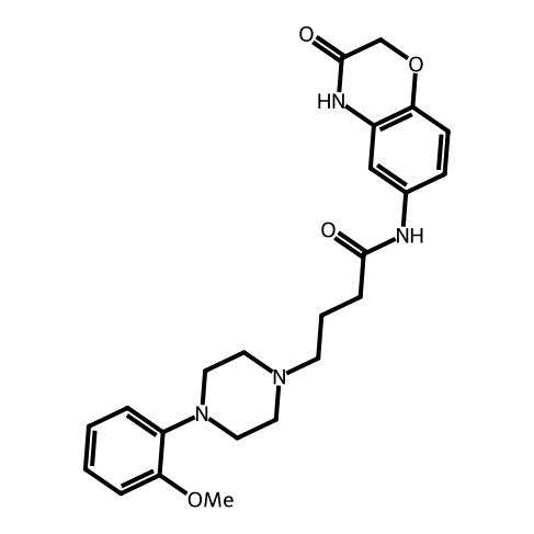 COc1ccccc1N1CCN(CCCC(=O)Nc2ccc3c(c2)NC(=O)CO3)CC1